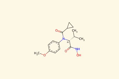 COc1ccc(N(C(=O)C2CC2)[C@@H](C(=O)NO)C(C)C)cc1